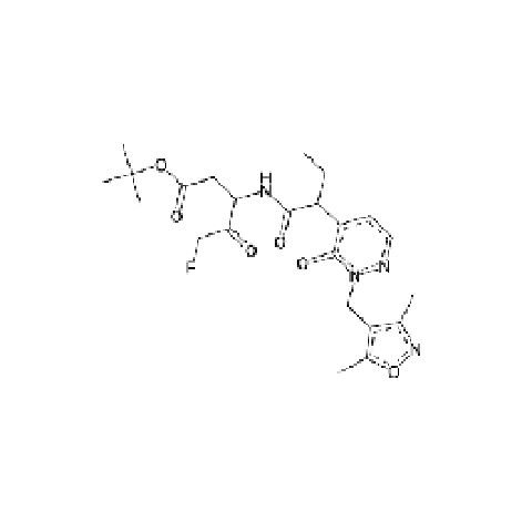 CCC(C(=O)NC(CC(=O)OC(C)(C)C)C(=O)CF)c1ccnn(Cc2c(C)noc2C)c1=O